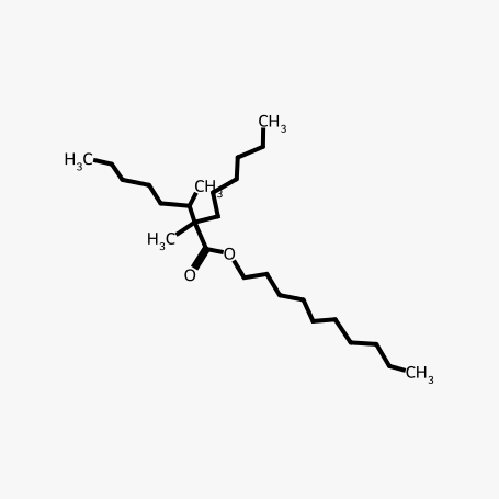 CCCCCCCCCCOC(=O)C(C)(CCCCCC)C(C)CCCCC